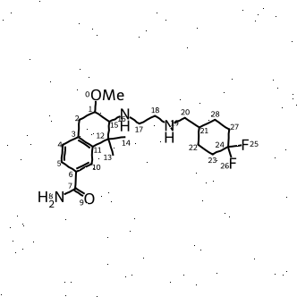 COC1Cc2ccc(C(N)=O)cc2C(C)(C)C1NCCNCC1CCC(F)(F)CC1